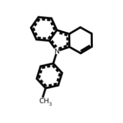 Cc1ccc(-n2c3c(c4ccccc42)CCC=C3)cc1